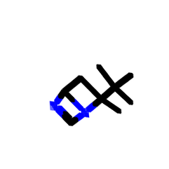 CC(C)(C)C1(C)CC2N=CN21